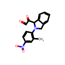 Cc1cc([N+](=O)[O-])ccc1N1Cc2ccccc2C1C(=O)C=O